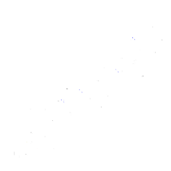 Cc1c(Oc2cccc(S(C)(=O)=O)c2F)ncnc1OC1CCN(CC(=O)c2ccccn2)CC1